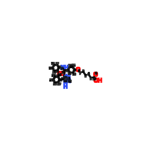 O=C(O)CCCCCOc1ccc(C(=O)Nc2ccccc2Oc2ccccc2-c2nnn[nH]2)cc1